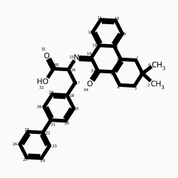 CC1(C)CCC2=C(C1)c1ccccc1/C(=N/C(Cc1ccc(-c3ccccc3)cc1)C(=O)O)C2=O